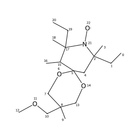 CCC1(C)CC2(OCC(C)(COC)CO2)C(C)C(C)(CC)N1[O]